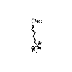 CCOS(=O)(=O)CCCCCCCC=O